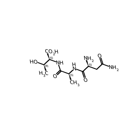 C[C@H](NC(=O)[C@@H](N)CC(N)=O)C(=O)N[C@H](C(=O)O)[C@@H](C)O